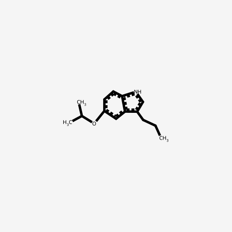 CCCc1c[nH]c2ccc(OC(C)C)cc12